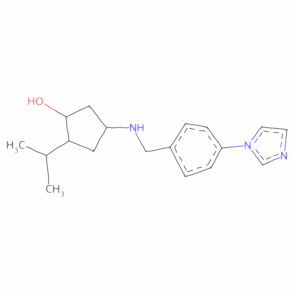 CC(C)C1CC(NCc2ccc(-n3ccnc3)cc2)CC1O